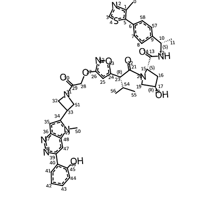 Cc1ncsc1-c1ccc([C@H](C)NC(=O)[C@@H]2C[C@@H](O)CN2C(=O)[C@@H](c2cc(OCC(=O)N3CC(c4cc5nnc(-c6ccccc6O)cc5n4C)C3)no2)C(C)C)cc1